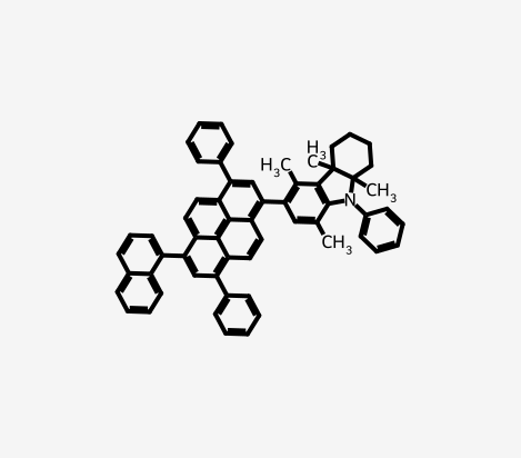 Cc1cc(-c2cc(-c3ccccc3)c3ccc4c(-c5cccc6ccccc56)cc(-c5ccccc5)c5ccc2c3c54)c(C)c2c1N(c1ccccc1)C1(C)CCCCC21C